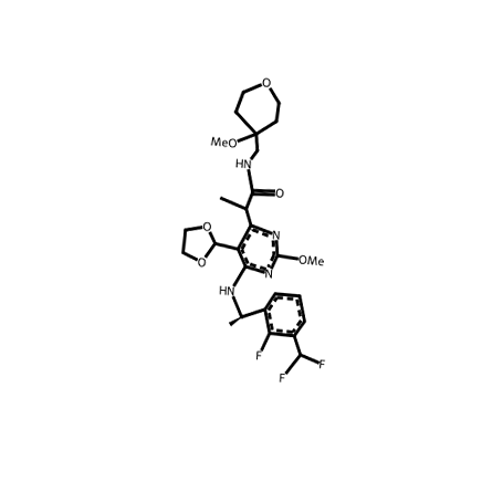 COc1nc(N[C@H](C)c2cccc(C(F)F)c2F)c(C2OCCO2)c(C(C)C(=O)NCC2(OC)CCOCC2)n1